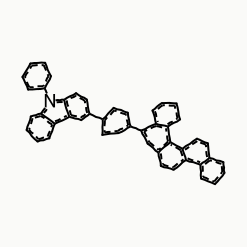 c1ccc(-n2c3ccccc3c3cc(-c4ccc(-c5cc6ccc7c8ccccc8ccc7c6c6ccccc56)cc4)ccc32)cc1